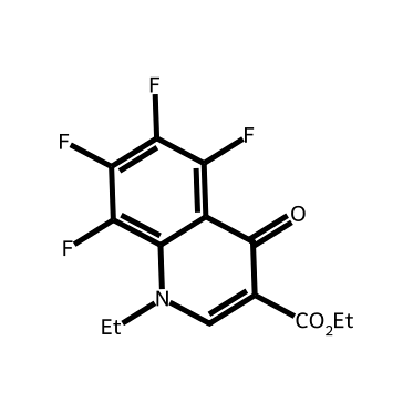 CCOC(=O)c1cn(CC)c2c(F)c(F)c(F)c(F)c2c1=O